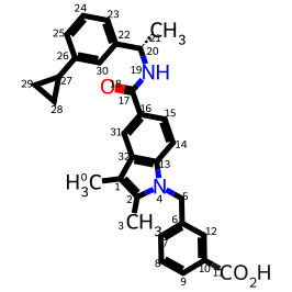 Cc1c(C)n(Cc2cccc(C(=O)O)c2)c2ccc(C(=O)N[C@@H](C)c3cccc(C4CC4)c3)cc12